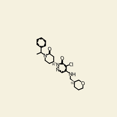 CC(c1ccccc1)N1CC[C@@H](n2ncc(NC[C@@H]3CCCOC3)c(Cl)c2=O)CC1=O